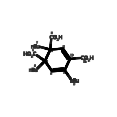 CCCCC1=CC(CCCC)(C(=O)O)C(CCCC)(C(=O)O)C=C1C(=O)O